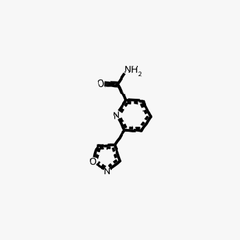 NC(=O)c1cccc(-c2cnoc2)n1